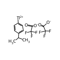 CC(C)c1cc[c]([Tl+2])cc1.O=C([O-])C(F)(F)F.O=C([O-])C(F)(F)F